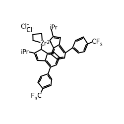 CC(C)C1=Cc2c(-c3ccc(C(F)(F)F)cc3)cccc2[CH]1[Zr+2]1([CH]2C(C(C)C)=Cc3c(-c4ccc(C(F)(F)F)cc4)cccc32)[CH2]C[CH2]1.[Cl-].[Cl-]